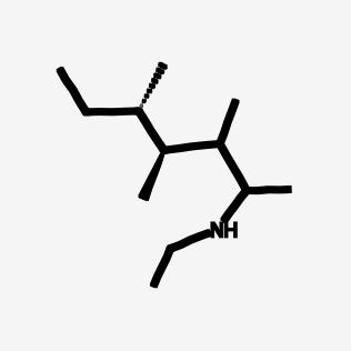 CCNC(C)C(C)[C@@H](C)[C@@H](C)CC